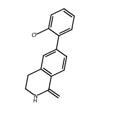 C=C1NCCc2cc(-c3ccccc3Cl)ccc21